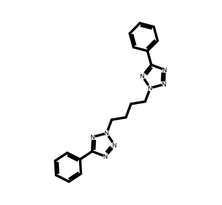 c1ccc(-c2nnn(CCCCn3nnc(-c4ccccc4)n3)n2)cc1